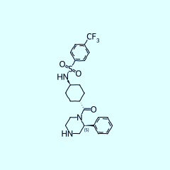 O=C([C@H]1CC[C@H](NS(=O)(=O)c2ccc(C(F)(F)F)cc2)CC1)N1CCNC[C@@H]1c1ccccc1